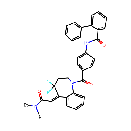 CCN(CC)C(=O)C=C1c2ccccc2N(C(=O)c2ccc(NC(=O)c3ccccc3-c3ccccc3)cc2)CCC1(F)F